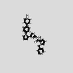 O=C(Nc1nc([C@H]2CCCN2c2ccc(C3CCNCC3)cc2)cs1)c1cccn1Cc1ccncc1